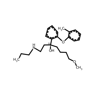 CCCNCC[C@@](O)(CCCCOC)c1ccccc1Oc1ccccc1C